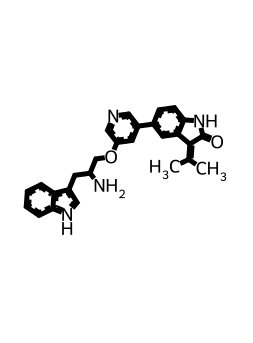 CC(C)=C1C(=O)Nc2ccc(-c3cncc(OCC(N)Cc4c[nH]c5ccccc45)c3)cc21